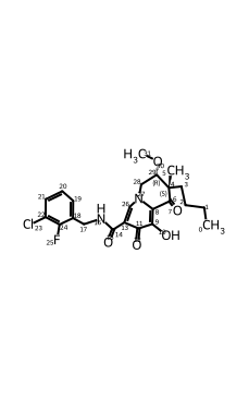 CCCC[C@]1(C)C(=O)c2c(O)c(=O)c(C(=O)NCc3cccc(Cl)c3F)cn2C[C@@H]1OC